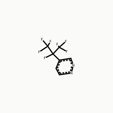 FC(F)(F)C(F)(c1[c]nncc1)C(F)(F)F